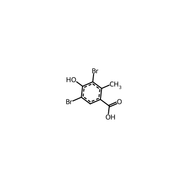 Cc1c(C(=O)O)cc(Br)c(O)c1Br